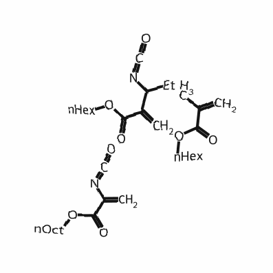 C=C(C(=O)OCCCCCC)C(CC)N=C=O.C=C(C)C(=O)OCCCCCC.C=C(N=C=O)C(=O)OCCCCCCCC